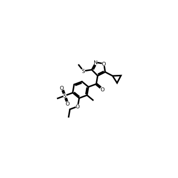 CCOc1c(S(C)(=O)=O)ccc(C(=O)c2c(SC)noc2C2CC2)c1C